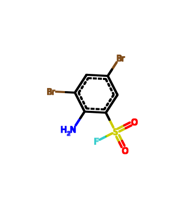 Nc1c(Br)cc(Br)cc1S(=O)(=O)F